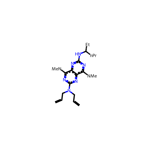 C=CCN(CC=C)c1nc(NC)c2nc(NC(CC)CCC)nc(NC)c2n1